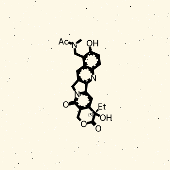 CC[C@@]1(O)C(=O)OCc2c1cc1n(c2=O)Cc2cc3c(CN(C)C(C)=O)c(O)ccc3nc2-1